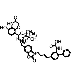 CC(C)(C)[Si](C)(C)OC(CNCc1ccc2c(c1)oc(=O)n2CC/C=C/c1ccc(-c2ccccc2)c(NC(=O)O)c1)c1ccc(O)c2c1OCC(=O)N2